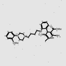 COC(=O)C1=C(N)NC(C)=C([N+](=O)[O-])C1c1ccccc1SCCCCN1CCN(c2ccccc2OC)CC1